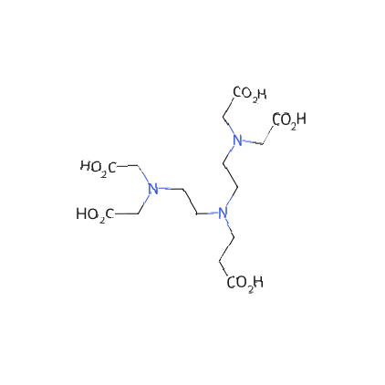 O=C(O)CCN(CCN(CC(=O)O)CC(=O)O)CCN(CC(=O)O)CC(=O)O